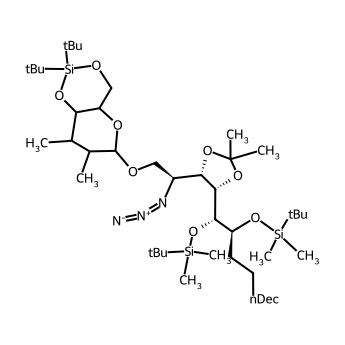 CCCCCCCCCCCC[C@H](O[Si](C)(C)C(C)(C)C)[C@H](O[Si](C)(C)C(C)(C)C)[C@H]1OC(C)(C)O[C@H]1[C@H](COC1OC2CO[Si](C(C)(C)C)(C(C)(C)C)OC2C(C)C1C)N=[N+]=[N-]